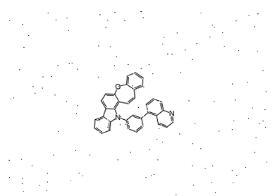 C1=Cc2c(ccc3c4ccccc4n(-c4cccc(-c5cccc6ncccc56)c4)c23)Oc2ccccc21